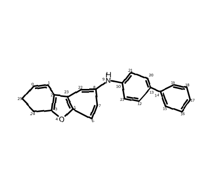 C1=Cc2c(oc3ccc(Nc4ccc(-c5ccccc5)cc4)cc23)CC1